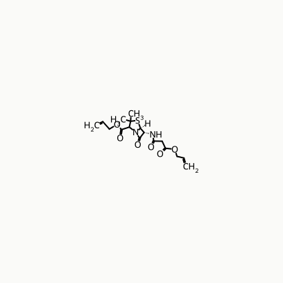 C=CCOC(=O)CC(=O)N[C@@H]1C(=O)N2C(C(=O)OCC=C)C(C)(C)S[C@@H]12